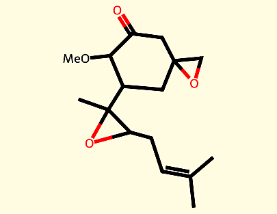 COC1C(=O)CC2(CO2)CC1C1(C)OC1CC=C(C)C